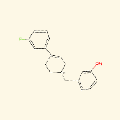 Oc1cccc(C[C@H]2CC=C(c3cccc(F)c3)CC2)c1